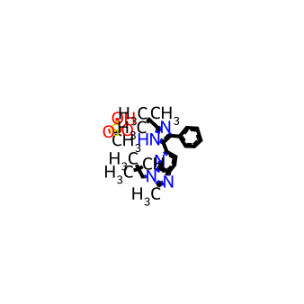 CS(=O)(=O)O.Cc1nc2ccc(-c3[nH]c(C(C)(C)C)nc3-c3ccccc3)nc2n1CC(C)(C)C